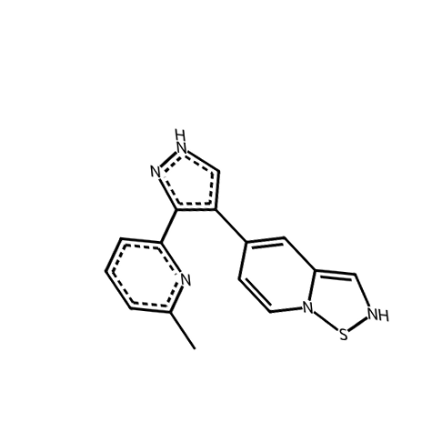 Cc1cccc(-c2n[nH]cc2C2=CC3=CNSN3C=C2)n1